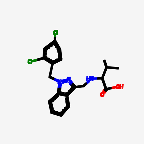 CC(C)C(NCc1nn(Cc2ccc(Cl)cc2Cl)c2ccccc12)C(=O)O